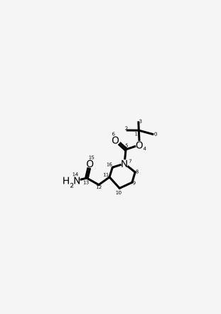 CC(C)(C)OC(=O)N1CCCC(CC(N)=O)C1